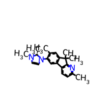 Cc1ccc2c(n1)C(C)(C)c1cc(C)c(N3C=CN(C)[C@@H]3C)cc1-2